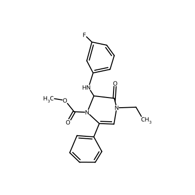 CCN1C=C(c2ccccc2)N(C(=O)OC)C(Nc2cccc(F)c2)C1=O